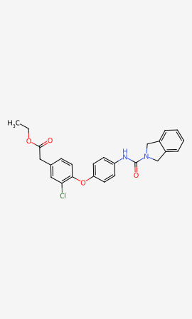 CCOC(=O)Cc1ccc(Oc2ccc(NC(=O)N3Cc4ccccc4C3)cc2)c(Cl)c1